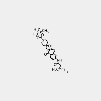 CN(C)CC(=O)Nc1ccc2c(=O)n(CC3(O)CCN(C(=O)OC(C)(C)C)CC3)cnc2c1